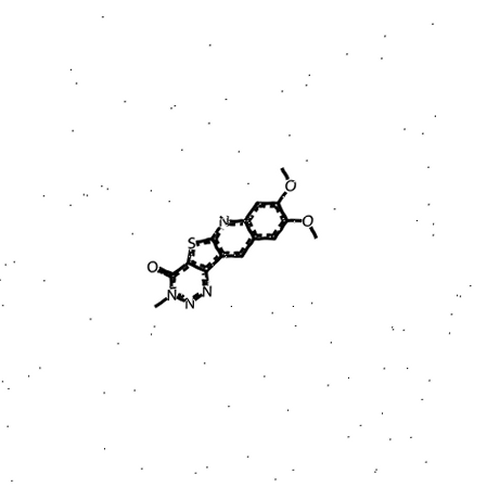 COc1cc2cc3c(nc2cc1OC)sc1c(=O)n(C)nnc13